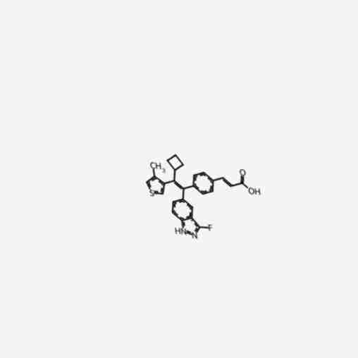 Cc1cscc1C(=C(c1ccc(C=CC(=O)O)cc1)c1ccc2[nH]nc(F)c2c1)C1CCC1